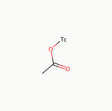 CC(=O)[O][Tc]